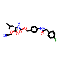 CC(C)C[C@H](NC(=O)OCc1ccc(NC(=O)Cc2ccc(F)cc2)cc1)C(=O)OCC#N